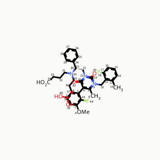 COc1cccc(-c2c(C)n(Cc3c(C)cccc3F)c(=O)n(C[C@@H](c3ccccc3)N(CCCC(=O)O)CCCC(O)O)c2=O)c1F